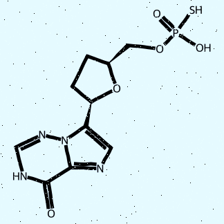 O=c1[nH]cnn2c([C@H]3CC[C@@H](COP(=O)(O)S)O3)cnc12